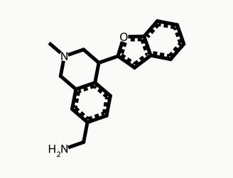 CN1Cc2cc(CN)ccc2C(c2cc3ccccc3o2)C1